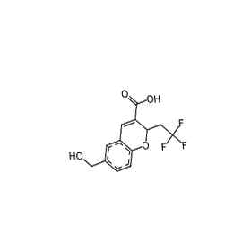 O=C(O)C1=Cc2cc(CO)ccc2OC1CC(F)(F)F